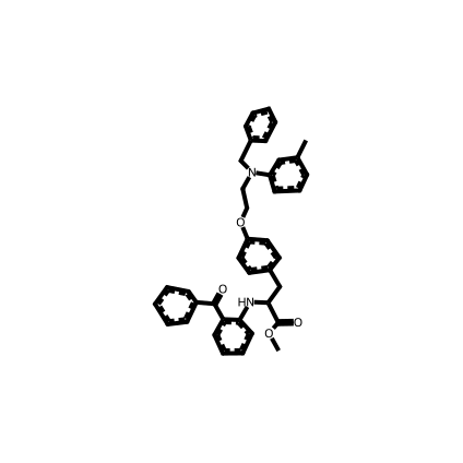 COC(=O)C(Cc1ccc(OCCN(Cc2ccccc2)c2cccc(C)c2)cc1)Nc1ccccc1C(=O)c1ccccc1